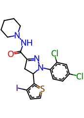 O=C(NN1CCCCC1)C1=NN(c2ccc(Cl)cc2Cl)C(c2sccc2I)C1